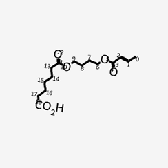 CC=CC(=O)OCCCCOC(=O)CCCCCC(=O)O